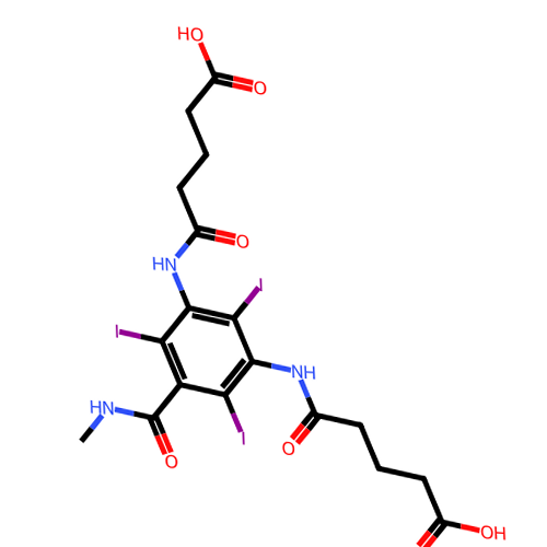 CNC(=O)c1c(I)c(NC(=O)CCCC(=O)O)c(I)c(NC(=O)CCCC(=O)O)c1I